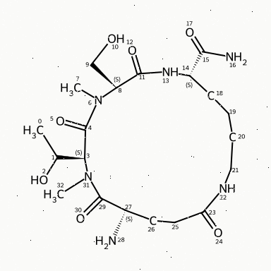 CC(O)[C@H]1C(=O)N(C)[C@@H](CO)C(=O)N[C@H](C(N)=O)CCCCNC(=O)CC[C@H](N)C(=O)N1C